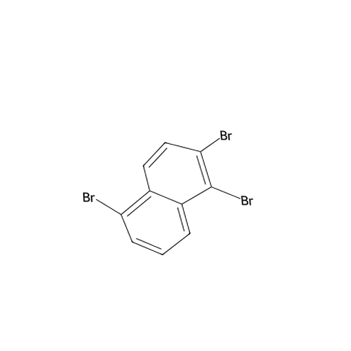 Brc1ccc2c(Br)cccc2c1Br